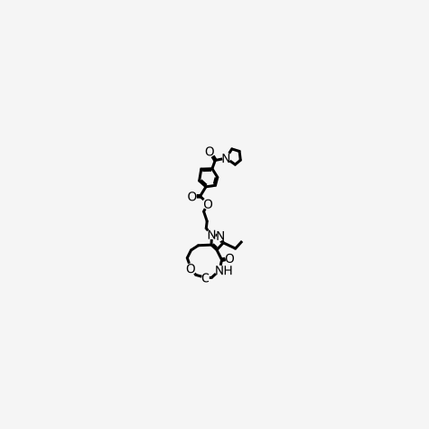 CCc1nn(CCCOC(=O)c2ccc(C(=O)N3CCCC3)cc2)c2c1C(=O)NCCCOCCC2